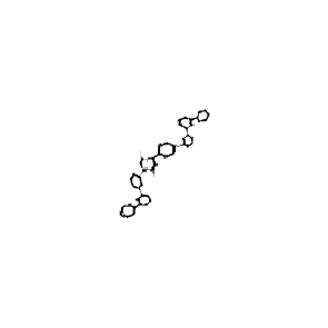 c1cc(-c2ccc3c(c2)oc2nc(-c4cccc(-c5cccc6c5sc5ccccc56)c4)cnc23)cc(-c2cccc3c2sc2ccccc23)c1